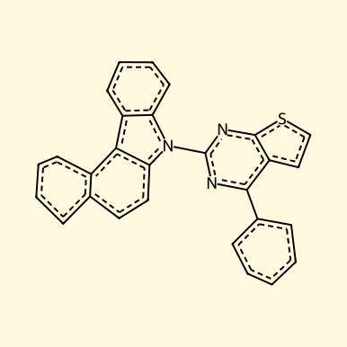 c1ccc(-c2nc(-n3c4ccccc4c4c5ccccc5ccc43)nc3sccc23)cc1